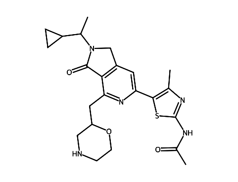 CC(=O)Nc1nc(C)c(-c2cc3c(c(CC4CNCCO4)n2)C(=O)N(C(C)C2CC2)C3)s1